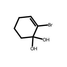 OC1(O)CCCC=C1Br